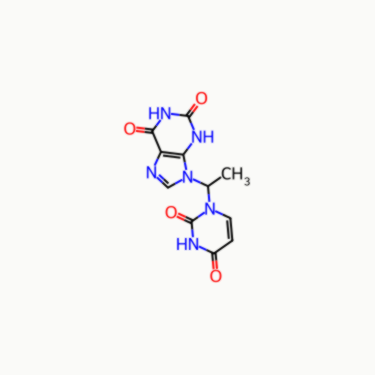 CC(n1ccc(=O)[nH]c1=O)n1cnc2c(=O)[nH]c(=O)[nH]c21